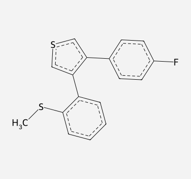 CSc1ccccc1-c1cscc1-c1ccc(F)cc1